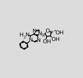 NC1c2ncn([C@@H]3O[C@H](CO)C(O)C3O)c2N=CN1c1[c]cccc1